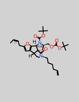 C=CCCCCN1CC[C@@H]2c3cc(C/C=C\C)oc3[C@H]3N(C(=O)OC(C)(C)C)[C@@H](COC(=O)OC(C)(C)C)C[C@]23C1=O